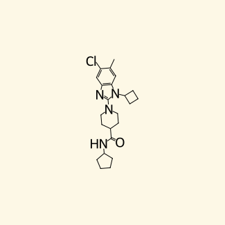 Cc1cc2c(cc1Cl)nc(N1CCC(C(=O)NC3CCCC3)CC1)n2C1CCC1